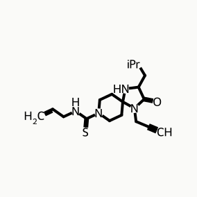 C#CCN1C(=O)C(CC(C)C)NC12CCN(C(=S)NCC=C)CC2